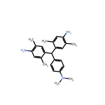 Cc1cc(C(c2ccc(N(C)C)cc2)c2cc(C)c(N)cc2C)c(C)cc1N